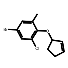 Clc1cc(Br)cc(I)c1OC1C=CCC1